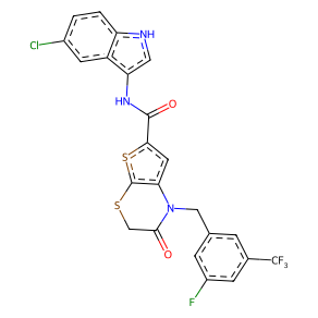 O=C(Nc1c[nH]c2ccc(Cl)cc12)c1cc2c(s1)SCC(=O)N2Cc1cc(F)cc(C(F)(F)F)c1